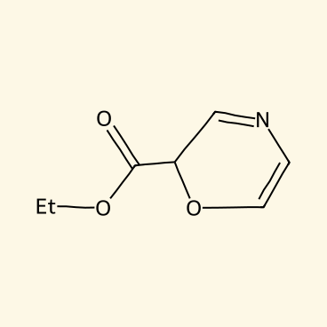 CCOC(=O)C1C=NC=CO1